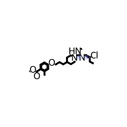 CC/C(Cl)=C\N=C(/NC)N1CCC(CCCOc2ccc(C(=O)OC)c(C)c2)CC1